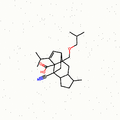 CC(C)COCC12CC3C(C)CCC3C3(C#N)CC1C=C(C(C)C)C32C(=O)O